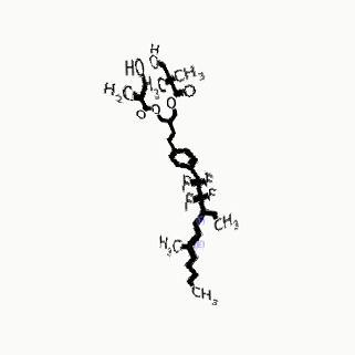 C=C(CO)C(=O)OCC(CCc1ccc(C(F)(F)C(F)(F)/C(=C/C=C(\C)CCCCC)CC)cc1)COC(=O)C(C)(C)CO